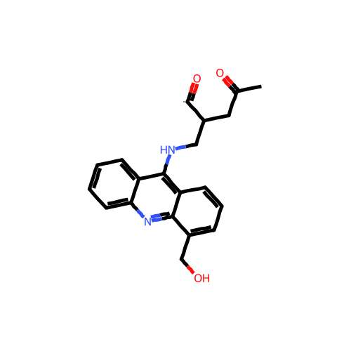 CC(=O)CC([C]=O)CNc1c2ccccc2nc2c(CO)cccc12